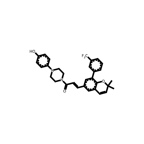 CC1(C)C=Cc2cc(/C=C/C(=O)N3CCN(c4ccc(O)cc4)CC3)cc(-c3cccc(C(F)(F)F)c3)c2O1